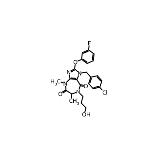 CC1C(=O)N(C)c2nc(Oc3cccc(F)c3)n(Cc3ccc(Cl)cc3)c2C(=O)N1CCCO